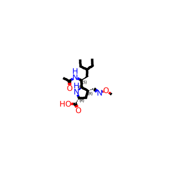 CCC(CC)C[C@H](NC(C)=O)[C@@H]1N[C@@H](C(=O)O)C[C@H]1C=NOC